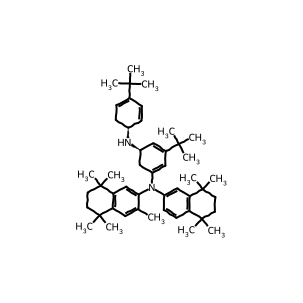 Cc1cc2c(cc1N(C1=CC(C(C)(C)C)=C[C@H](N[C@@H]3C=CC(C(C)(C)C)=CC3)C1)c1ccc3c(c1)C(C)(C)CCC3(C)C)C(C)(C)CCC2(C)C